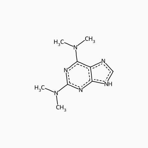 CN(C)c1nc(N(C)C)c2nc[nH]c2n1